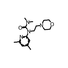 Cc1cc(C)nc(N(CCN2CCOCC2)C(=O)N(C)C)c1